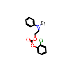 CCN(CCOC(=O)Oc1ccccc1Cl)c1ccccc1